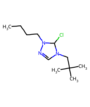 CCCCN1N=CN(CC(C)(C)C)C1Cl